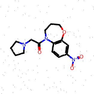 O=C(CN1CCCC1)N1CCCOc2cc([N+](=O)[O-])ccc21